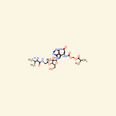 CC(C)C(=O)OCOC(=O)NC1=CC(=O)Nc2ncnc3c2c1cn3C1OC(CO)C(OC(=O)CNC(=O)C(N)C(C)C)C1(C)O